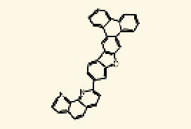 c1cnc2c(c1)ccc1ccc(-c3ccc4c(c3)oc3cc5c6ccccc6c6ccccc6c5cc34)nc12